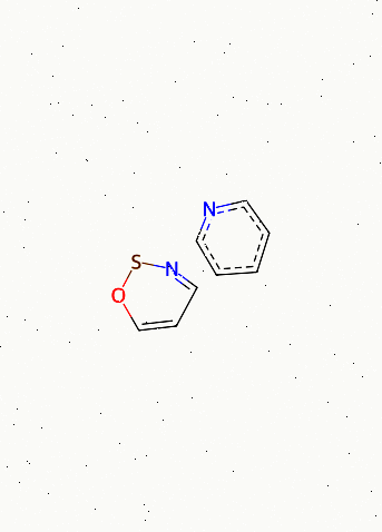 C1=COSN=C1.c1ccncc1